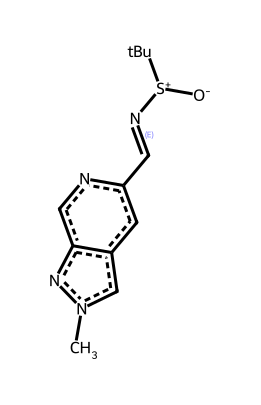 Cn1cc2cc(/C=N/[S+]([O-])C(C)(C)C)ncc2n1